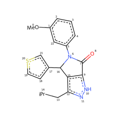 COc1cccc(N2C(=O)c3[nH]nc(CC(C)C)c3C2c2ccsc2)c1